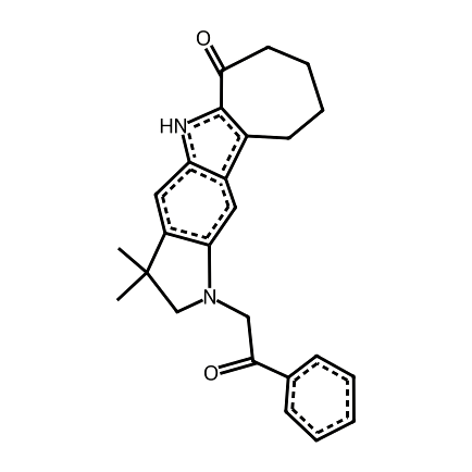 CC1(C)CN(CC(=O)c2ccccc2)c2cc3c4c([nH]c3cc21)C(=O)CCCC4